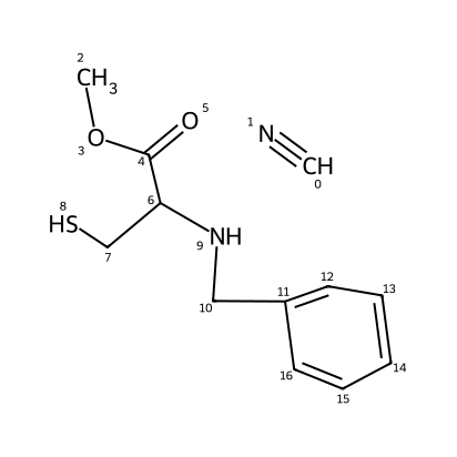 C#N.COC(=O)C(CS)NCc1ccccc1